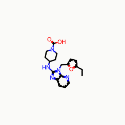 CCc1ccc(Cn2c(NC3CCN(C(=O)O)CC3)nc3cccnc32)o1